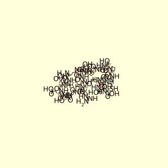 CC(C)C[C@H](NC(=O)[C@H](CCCNC(=N)N)NC(=O)CNC(=O)CNC(=O)[C@H](CO)NC(=O)[C@H](CCC(=O)O)NC(=O)[C@H](CCC(=O)O)NC(=O)[C@H](CC(C)C)NC(=O)[C@@H](N)CCC(N)=O)C(=O)N[C@H](C(=O)N[C@H](C(=O)N1CCC[C@H]1C(=O)NCC(=O)N[C@H](C(=O)N1CCC[C@H]1C(=O)N[C@@H](CC(C)C)C(=O)N[C@H](C(=O)N[C@@H](CC(C)C)C(=O)N[C@H](C(=O)N[C@@H](CS)C(=O)O)[C@@H](C)O)[C@@H](C)O)[C@@H](C)O)[C@@H](C)O)C(C)C